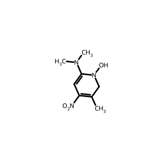 CC1=C([N+](=O)[O-])C=C(N(C)C)N(O)C1